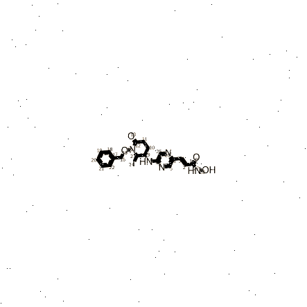 O=C(C=Cc1cnc(N[C@@H]2CCC(=O)N(OCc3ccccc3)C2I)cn1)NO